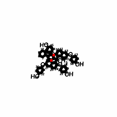 CC(c1ccc(C2CCCCC2)cc1)(c1c(Oc2ccc(O)cc2)ccc2cc(Oc3ccc(O)cc3)ccc12)c1c(Oc2ccc(O)cc2)ccc2cc(Oc3ccc(O)cc3)ccc12